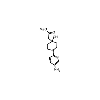 COC(=O)CC1(O)CCN(c2ccc(N)cn2)CC1